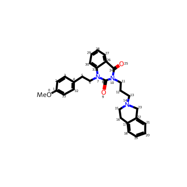 COc1ccc(CCn2c(=O)n(CCCN3CCc4ccccc4C3)c(=O)c3ccccc32)cc1